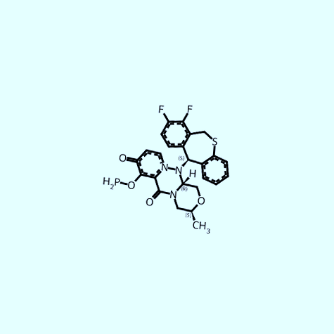 C[C@H]1CN2C(=O)c3c(OP)c(=O)ccn3N([C@@H]3c4ccccc4SCc4c3ccc(F)c4F)[C@@H]2CO1